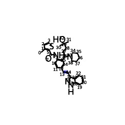 Cc1ccsc1C(=O)Nc1ccc(/C=C/c2n[nH]c3ccccc23)cc1C(CCC(C)(C)O)N1CCCCC1